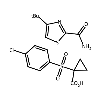 CC(C)(C)c1csc(C(N)=O)n1.O=C(O)C1(S(=O)(=O)c2ccc(Cl)cc2)CC1